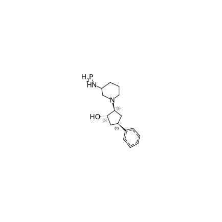 O[C@H]1C[C@H](c2ccccc2)C[C@@H]1N1CCCC(NP)C1